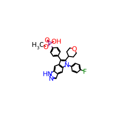 COP(=O)(O)c1ccc(-c2c(C3CCOCC3)n(-c3ccc(F)cc3)c3cc4cn[nH]c4cc23)cc1